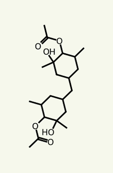 CC(=O)OC1C(C)CC(CC2CC(C)C(OC(C)=O)C(C)(O)C2)CC1(C)O